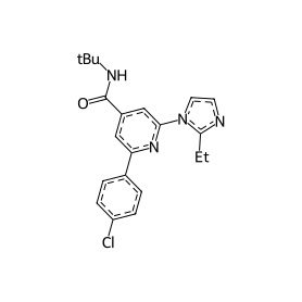 CCc1nccn1-c1cc(C(=O)NC(C)(C)C)cc(-c2ccc(Cl)cc2)n1